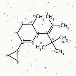 CC(C)=C(N1C=C(C2CC2)CCC1C)C(C)(C)C